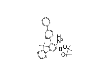 CC1(C)c2ccccc2-c2cc(B3OC(C)(C)C(C)(C)O3)c(N)c(-c3ccc(-c4ccccc4)cc3)c21